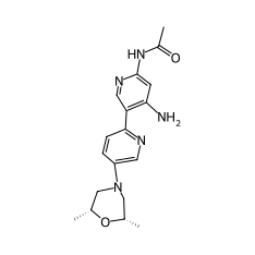 CC(=O)Nc1cc(N)c(-c2ccc(N3C[C@@H](C)O[C@@H](C)C3)cn2)cn1